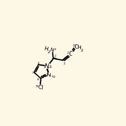 C=C=CC(N)n1ccc(Cl)n1